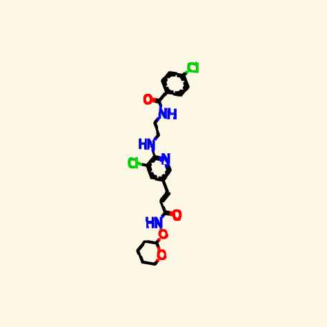 O=C(C=Cc1cnc(NCCNC(=O)c2ccc(Cl)cc2)c(Cl)c1)NOC1CCCCO1